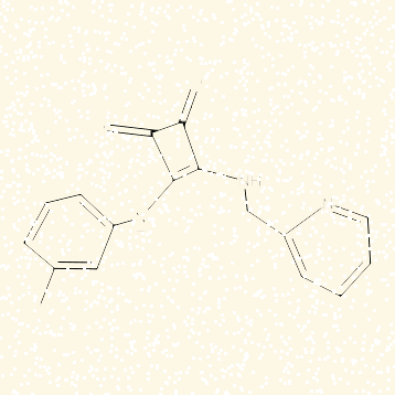 O=c1c(NCc2ccccn2)c(Nc2cccc(F)c2)c1=O